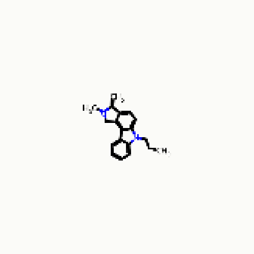 C=C1c2ccc3c(c2CN1C)c1ccccc1n3CCC